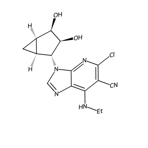 CCNc1c(C#N)c(Cl)nc2c1ncn2[C@H]1[C@H](O)[C@H](O)[C@@H]2C[C@@H]21